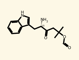 CC(C)(CC(=O)[C@@H](N)Cc1c[nH]c2ccccc12)O[C]=O